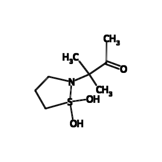 CC(=O)C(C)(C)N1CCCS1(O)O